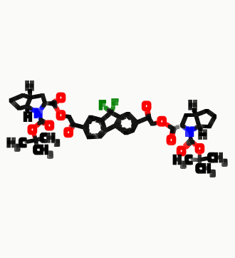 CC(C)(C)OC(=O)N1[C@@H]2CCC[C@@H]2C[C@H]1C(=O)OCC(=O)c1ccc2c(c1)C(F)(F)c1cc(C(=O)COC(=O)[C@@H]3C[C@@H]4CCC[C@@H]4N3C(=O)OC(C)(C)C)ccc1-2